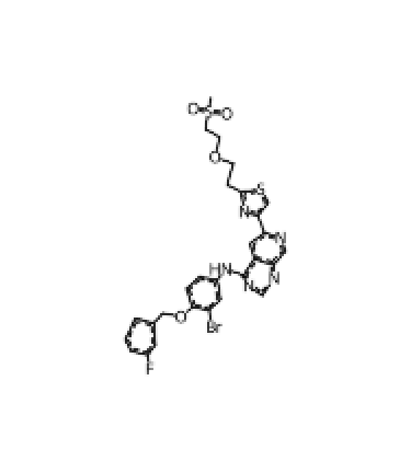 CS(=O)(=O)CCOCCc1nc(-c2cc3c(Nc4ccc(OCc5cccc(F)c5)c(Br)c4)ncnc3cn2)cs1